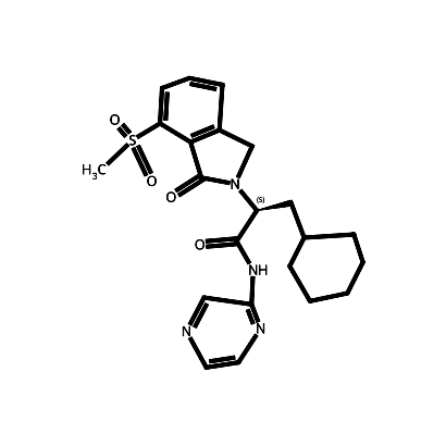 CS(=O)(=O)c1cccc2c1C(=O)N([C@@H](CC1CCCCC1)C(=O)Nc1cnccn1)C2